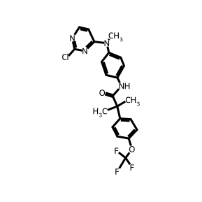 CN(c1ccc(NC(=O)C(C)(C)c2ccc(OC(F)(F)F)cc2)cc1)c1ccnc(Cl)n1